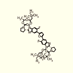 CC(C)OC(=O)N1CCC[C@H]1c1nc2cc(-c3ccc(-c4cc5nc([C@@H]6CCCN6C(=O)OC(C)(C)C)n(COCC[Si](C)(C)C)c5cc4F)o3)c(F)cc2n1COCC[Si](C)(C)C